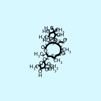 CC[C@H]1OC(=O)C[C@@H](O)[C@H](C)[C@@H](O[C@@H]2O[C@H](C)[C@@H](O)C(N(C)C)C2O)[C@@H](CC=O)C[C@@H](C)C(=O)/C=C/C(C)=C/[C@@H]1CO[C@@H]1OC(C)[C@@H](O)C(OC)[C@@H]1OC